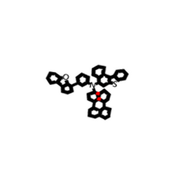 c1ccc(-c2cccc3cccc(-c4ccc(N(c5cccc(-c6cccc7c6oc6ccccc67)c5)c5cc6sc7ccccc7c6c6ccccc56)cc4)c23)cc1